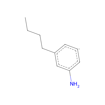 CCCCc1c[c]cc(N)c1